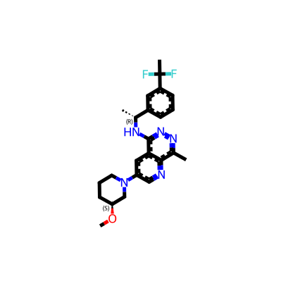 CO[C@H]1CCCN(c2cnc3c(C)nnc(N[C@H](C)c4cccc(C(C)(F)F)c4)c3c2)C1